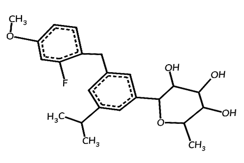 COc1ccc(Cc2cc(C(C)C)cc(C3OC(C)C(O)C(O)C3O)c2)c(F)c1